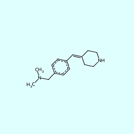 CN(C)Cc1ccc(C=C2CCNCC2)cc1